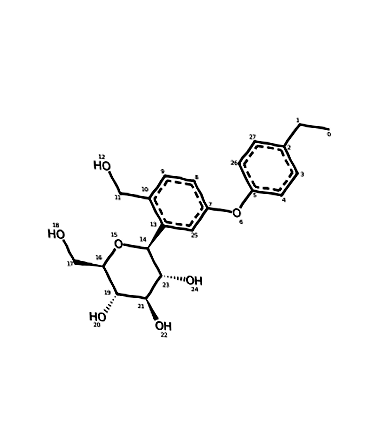 CCc1ccc(Oc2ccc(CO)c([C@@H]3O[C@H](CO)[C@@H](O)[C@H](O)[C@H]3O)c2)cc1